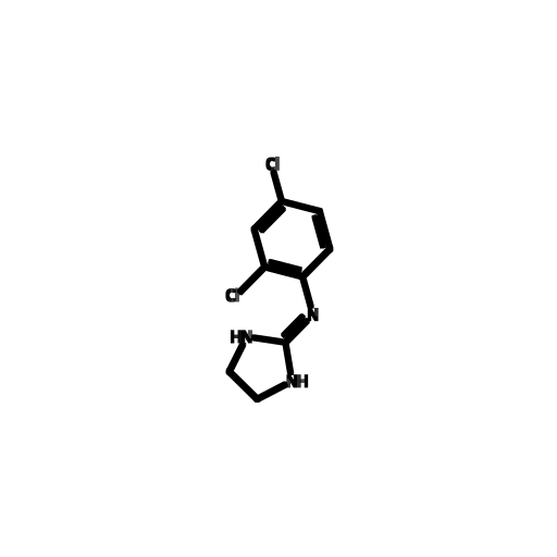 Clc1ccc(N=C2NCCN2)c(Cl)c1